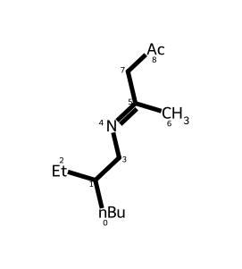 CCCCC(CC)C/N=C(\C)CC(C)=O